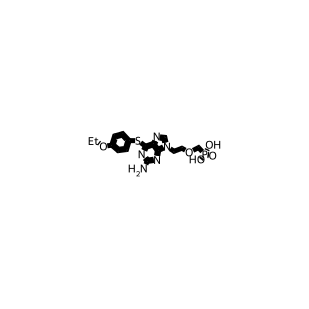 CCOc1ccc(Sc2nc(N)nc3c2ncn3CCOCP(=O)(O)O)cc1